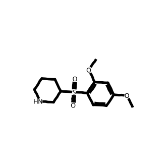 COc1ccc(S(=O)(=O)C2CCCNC2)c(OC)c1